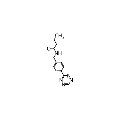 CCCC(=O)NCc1ccc(-c2nncnn2)cc1